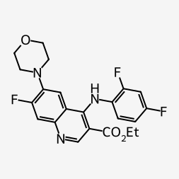 CCOC(=O)c1cnc2cc(F)c(N3CCOCC3)cc2c1Nc1ccc(F)cc1F